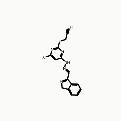 C#CCSc1nc(NN=CC2=NCc3ccccc32)cc(C(F)(F)F)n1